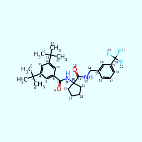 CC(C)(C)c1cc(C(=O)NC2(C(=O)NCc3cccc(C(F)(F)F)c3)CCCC2)cc(C(C)(C)C)c1